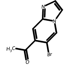 CC(=O)c1cc2nccn2cc1Br